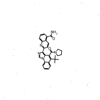 CC(C)(C)c1c(C(=O)N2CCCC2)c2c(-c3ccc4c(C(N)=O)cccc4n3)ncn2c2ccccc12